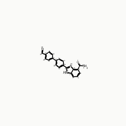 NC(=O)c1cccc2[nH]c(-c3ccc(-c4ccc(C=O)cc4)cc3)nc12